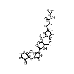 CN1C(=O)C(NC(=O)c2ncn(Cc3c(Cl)cccc3Cl)n2)COc2ccc(CCC(=O)NC3CC3)cc21